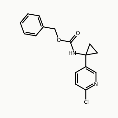 O=C(NC1(c2ccc(Cl)nc2)CC1)OCc1ccccc1